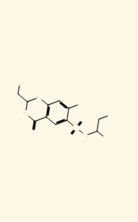 CCC(C)NS(=O)(=O)c1cc2c(cc1Cl)NC(CC)NC2=O